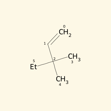 C=CC(C)(C)CC